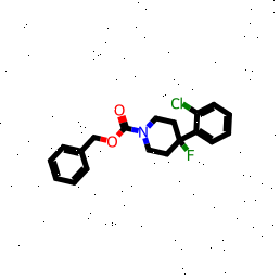 O=C(OCc1ccccc1)N1CCC(F)(c2ccccc2Cl)CC1